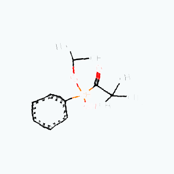 CC(C)O[PH](O)(C(=O)C(C)(C)C)c1ccccc1